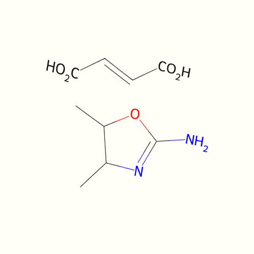 CC1N=C(N)OC1C.O=C(O)/C=C/C(=O)O